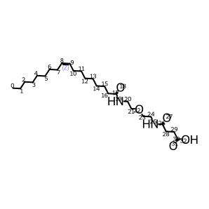 CCCCCCCC/C=C\CCCCCCCC(=O)NCCOCCNC(=O)CCC(=O)O